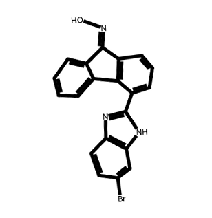 O/N=C1\c2ccccc2-c2c1cccc2-c1nc2ccc(Br)cc2[nH]1